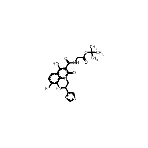 CC(C)(C)OC(=O)CNC(=O)c1c(O)c2ccc(Br)c3c2n(c1=O)CC(c1cncs1)N3